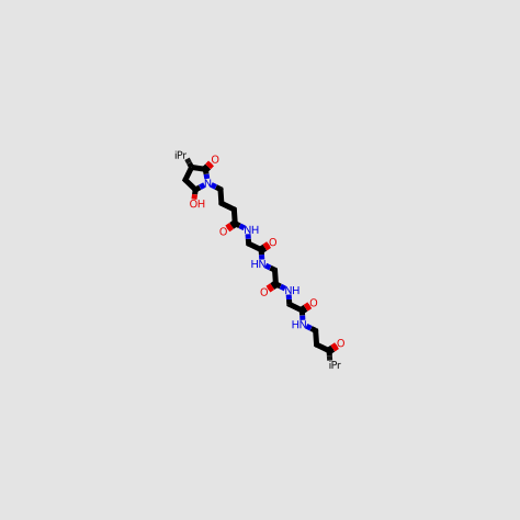 CC(C)C(=O)CCNC(=O)CNC(=O)CNC(=O)CNC(=O)CCCN1C(=O)C(C(C)C)CC1O